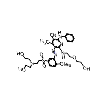 COc1ccc(S(=O)(=O)CCN(CCO)CCO)cc1/N=N/c1c(NCCOCCO)nc(Nc2ccccc2)c(C#N)c1C